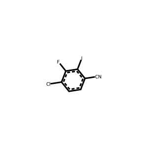 N#Cc1ccc(Cl)c(F)c1I